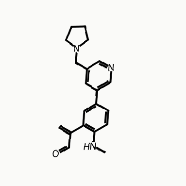 C=C(C=O)c1cc(-c2cncc(CN3CCCC3)c2)ccc1NC